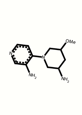 COC1CC(N)CN(c2ccncc2N)C1